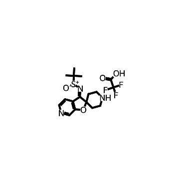 CC(C)(C)[S+]([O-])N=C1c2ccncc2OC12CCNCC2.O=C(O)C(F)(F)F